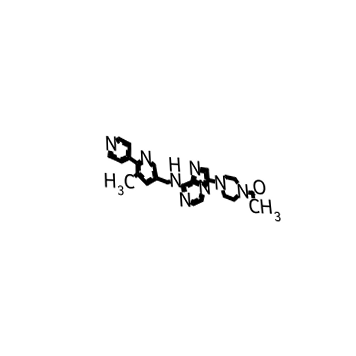 CC(=O)N1CCN(c2cnc3c(NCc4cnc(-c5ccncc5)c(C)c4)nccn23)CC1